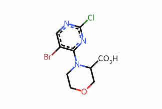 O=C(O)C1COCCN1c1nc(Cl)ncc1Br